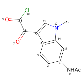 CC(=O)Nc1ccc2c(C(=O)C(=O)Cl)cn(C)c2c1